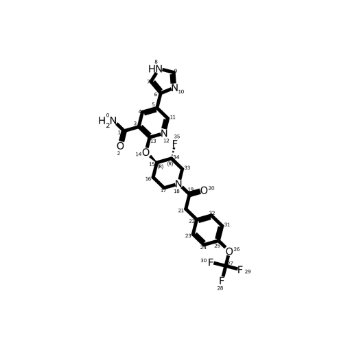 NC(=O)c1cc(-c2c[nH]cn2)cnc1O[C@@H]1CCN(C(=O)Cc2ccc(OC(F)(F)F)cc2)C[C@H]1F